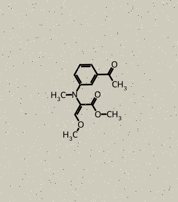 COC=C(C(=O)OC)N(C)c1cccc(C(C)=O)c1